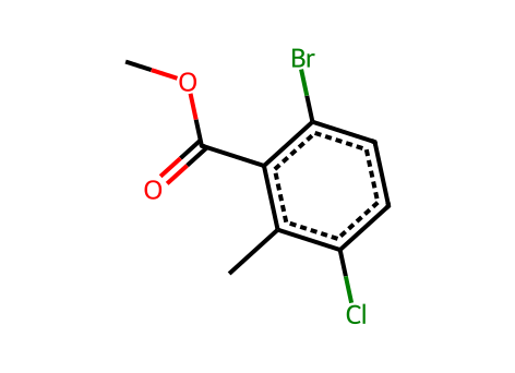 COC(=O)c1c(Br)ccc(Cl)c1C